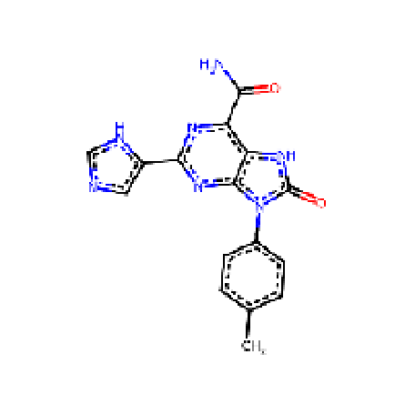 Cc1ccc(-n2c(=O)[nH]c3c(C(N)=O)nc(-c4cnc[nH]4)nc32)cc1